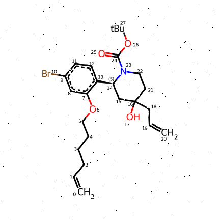 C=CCCCCOc1cc(Br)ccc1[C@@H]1CC(O)(CC=C)CCN1C(=O)OC(C)(C)C